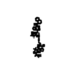 CN[C@@H](C)C(=O)N[C@@H](CC#CC#CCCNC(=O)[C@@H]1CCCN1C(=O)[C@@H](NC(=O)[C@H](C)NC)C(C)(C)C)C(=O)N1CCC[C@H]1C(=O)N[C@@H]1CCCc2ccccc21